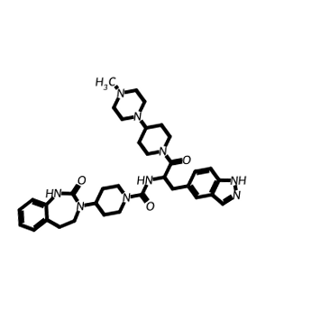 CN1CCN(C2CCN(C(=O)C(Cc3ccc4[nH]ncc4c3)NC(=O)N3CCC(N4CCc5ccccc5NC4=O)CC3)CC2)CC1